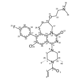 C=CC(=O)N1[C@H](C)CN(c2nc(=O)n3c4c(c(-c5ccc(F)cc5)c(Cl)cc24)SCC(OCCN(C)C)C3)C[C@@H]1C